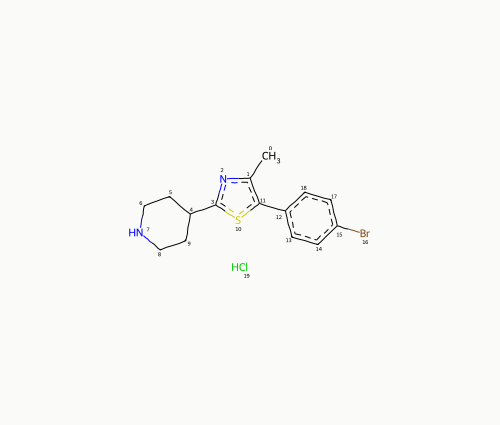 Cc1nc(C2CCNCC2)sc1-c1ccc(Br)cc1.Cl